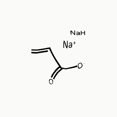 C=CC(=O)[O-].[Na+].[NaH]